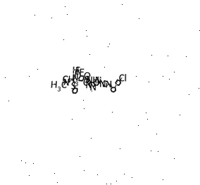 CN(C)CCC(CSc1ccccc1)Nc1ccc(S(=O)(=O)Nc2ncnc3cc(N4CCN(Cc5ccccc5-c5ccc(Cl)cc5)CC4)ncc23)cc1C(F)(F)F